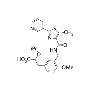 COc1ccc(CC(OC(C)C)C(=O)O)cc1CNC(=O)c1nc(-c2cccnc2)sc1C